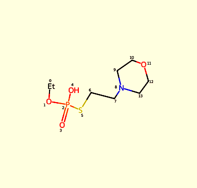 CCOP(=O)(O)SCCN1CCOCC1